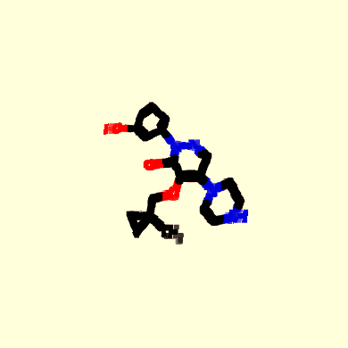 CC1(COc2c(N3CCNCC3)cnn(-c3cccc(O)c3)c2=O)CC1